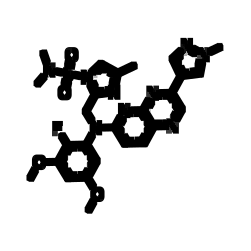 COc1cc(OC)c(F)c(N(Cc2nc(C)cn2S(=O)(=O)N(C)C)c2ccc3ncc(-c4cnn(C)c4)nc3n2)c1